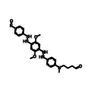 COc1cc(NNc2ccc(N(C)CCCC=O)cc2)c(OC)cc1NNc1ccc(N=O)cc1